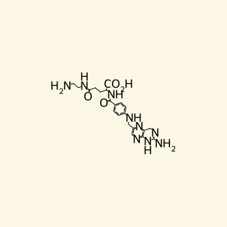 NCCNC(=O)CCC(NC(=O)c1ccc(NCc2cnc3c(n2)CN=C(N)N3)cc1)C(=O)O